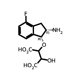 N[C@H]1Cc2c(F)cccc2[C@H]1OC(C(=O)O)C(O)C(=O)O